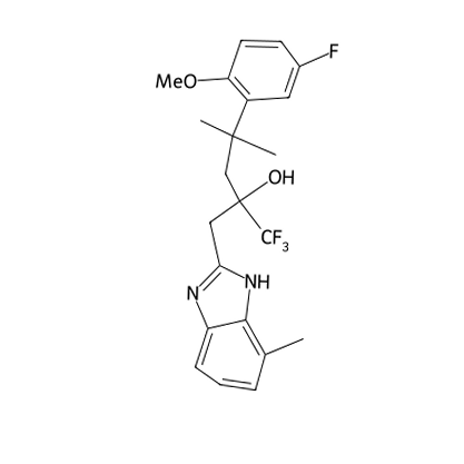 COc1ccc(F)cc1C(C)(C)CC(O)(Cc1nc2cccc(C)c2[nH]1)C(F)(F)F